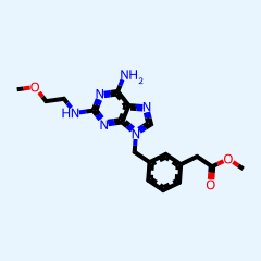 COCCNc1nc(N)c2ncn(Cc3cccc(CC(=O)OC)c3)c2n1